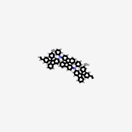 C=Cc1ccc(C2(c3ccc(C(C)(C)C)cc3)c3ccccc3-c3ccc(N(c4ccccc4)c4ccc5c(c4)C4(c6ccccc6-5)c5cc(N(c6ccccc6)c6ccc7c(c6)C(c6ccc(C=C)cc6)(c6ccc(C(C)(C)C)cc6)c6ccccc6-7)ccc5C5C=CC=CC54)cc32)cc1